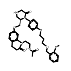 COc1ccccc1COCCCOc1ccc(N2C(=O)CNC[C@@H]2COc2ccc3c(c2)N(CCNC(C)=O)C(=O)CC3)cc1